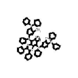 Cc1cc(N(c2ccccc2)c2c3nsnc3c(N(c3ccccc3)c3ccc(N(c4ccccc4)c4ccccc4)c(C)c3)c3nc(-c4ccccc4)c(-c4ccccc4)nc23)ccc1N(c1ccccc1)c1ccccc1